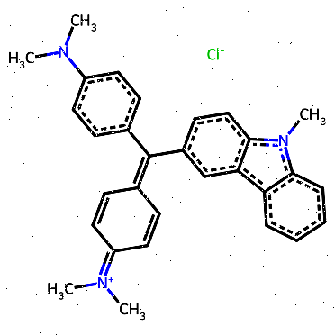 CN(C)c1ccc(C(=C2C=CC(=[N+](C)C)C=C2)c2ccc3c(c2)c2ccccc2n3C)cc1.[Cl-]